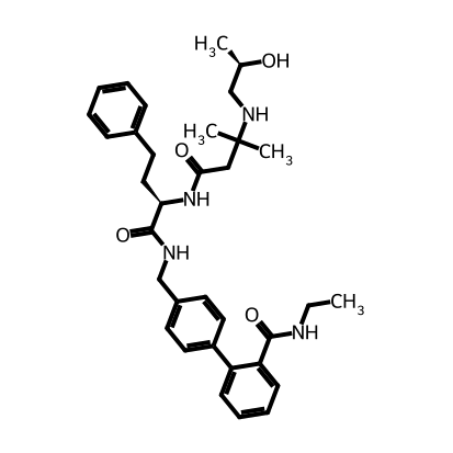 CCNC(=O)c1ccccc1-c1ccc(CNC(=O)[C@@H](CCc2ccccc2)NC(=O)CC(C)(C)NC[C@@H](C)O)cc1